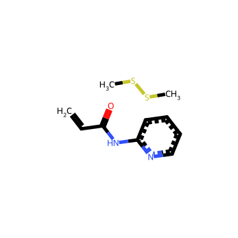 C=CC(=O)Nc1ccccn1.CSSC